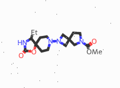 CCC1NC(=O)OC12CCN(N1CC3(CCN(C(=O)OC)C3)C1)CC2